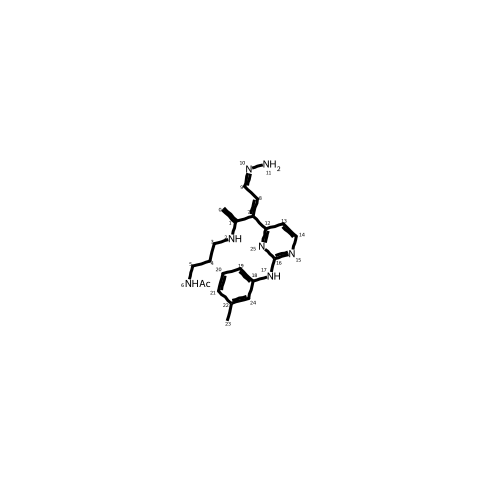 C=C(NCCCNC(C)=O)/C(=C\C=N/N)c1ccnc(Nc2cccc(C)c2)n1